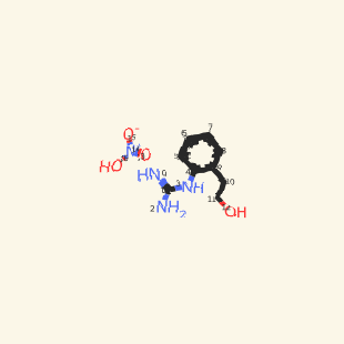 N=C(N)Nc1ccccc1CCO.O=[N+]([O-])O